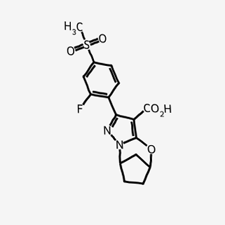 CS(=O)(=O)c1ccc(-c2nn3c(c2C(=O)O)OC2CCC3C2)c(F)c1